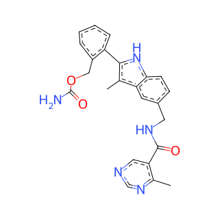 Cc1ncncc1C(=O)NCc1ccc2[nH]c(-c3ccccc3COC(N)=O)c(C)c2c1